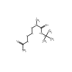 CN(CCCCC(N)=O)C(=O)OC(C)(C)C